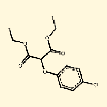 CCOC(=O)C(Oc1ccc(Cl)cc1)C(=O)OCC